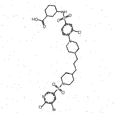 O=C(O)C1CCCC(NS(=O)(=O)c2ccc(N3CCC(CCCC4CCN(S(=O)(=O)c5cnc(Cl)c(Br)c5)CC4)CC3)c(Cl)c2)C1